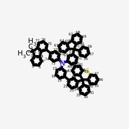 CC1(C)c2ccccc2-c2c(-c3ccc(N(c4cccc(-c5cccc(C6(c7ccccc7)c7ccccc7Sc7ccccc76)c5)c4)c4cccc(C5(c6ccccc6)c6ccccc6-c6ccccc65)c4)cc3)cccc21